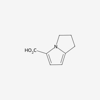 O=C(O)c1ccc2n1CCC2